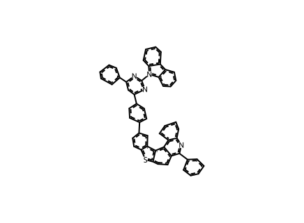 c1ccc(-c2cc(-c3ccc(-c4ccc5sc6ccc7c(-c8ccccc8)nc8ccccc8c7c6c5c4)cc3)nc(-n3c4ccccc4c4ccccc43)n2)cc1